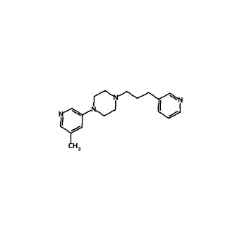 Cc1cncc(N2CCN(CCCc3cccnc3)CC2)c1